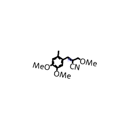 COC/C(C#N)=C/c1cc(OC)c(OC)cc1C